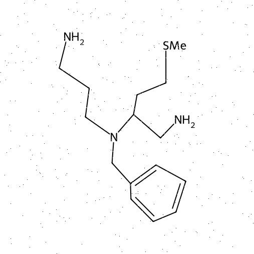 CSCCC(CN)N(CCCN)Cc1ccccc1